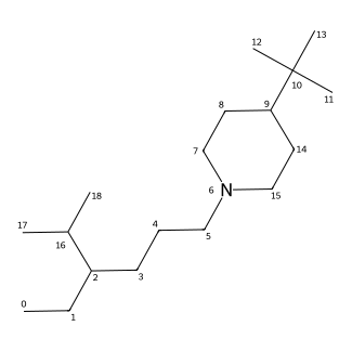 CCC(CCCN1CCC(C(C)(C)C)CC1)C(C)C